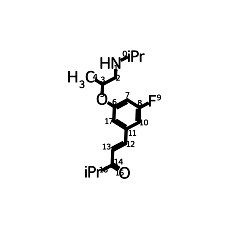 CC(C)NCC(C)Oc1cc(F)cc(/C=C/C(=O)C(C)C)c1